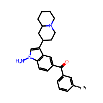 CCCc1cccc(C(=O)c2ccc3c(c2)c(C2CCN4CCCCC4C2)cn3N)c1